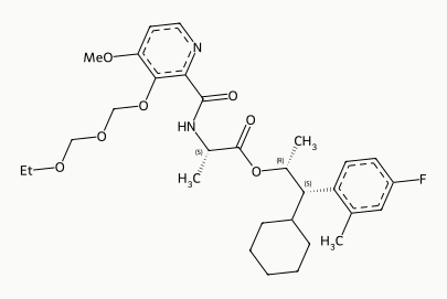 CCOCOCOc1c(OC)ccnc1C(=O)N[C@@H](C)C(=O)O[C@H](C)[C@H](c1ccc(F)cc1C)C1CCCCC1